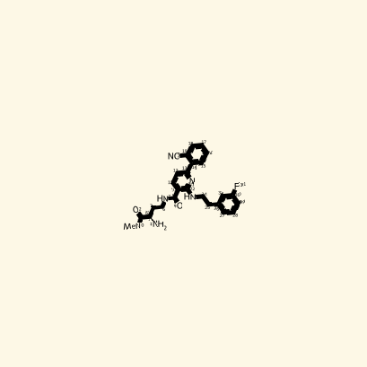 CNC(=O)[C@@H](N)CCNC(=O)c1ccc(-c2ccccc2C#N)nc1NCCc1cccc(F)c1